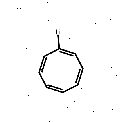 [Li][C]1=CC=CC=CC=C1